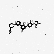 C[N+]#CC1CCCN(c2cc(-c3cc(F)cc(-c4ccc(N5CCN(C)C5=O)c(Cl)c4)c3O)ccn2)C1